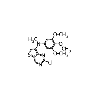 COc1cc(N(C)c2csc3cnc(Cl)nc23)cc(OC)c1OC